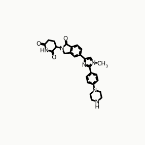 Cn1cc(-c2ccc3c(c2)CN(C2CCC(=O)NC2=O)C3=O)nc1-c1ccc(N2CCNCC2)cc1